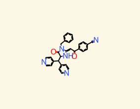 N#Cc1ccc(C(=O)C=C2NC(C(c3ccncc3)c3ccncc3)C(=O)N2Cc2ccccc2)cc1